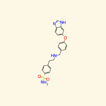 NS(=O)(=O)c1ccc(CCNCc2ccc(Oc3ccc4nc[nH]c4c3)cc2)cc1